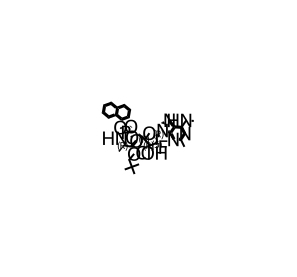 CNc1nc(C)nc2c1ncn2[C@@H]1O[C@](CCl)(COP(=O)(N[C@H](C)C(=O)OCC(C)(C)C)Oc2cccc3ccccc23)[C@@H](O)[C@@H]1F